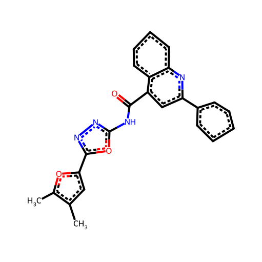 Cc1cc(-c2nnc(NC(=O)c3cc(-c4ccccc4)nc4ccccc34)o2)oc1C